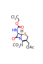 CC(=O)OCC1=C(C(=O)O)N2C(=O)[C@@H](NC(=O)OCC(Cl)(Cl)Cl)[C@H]2SC1